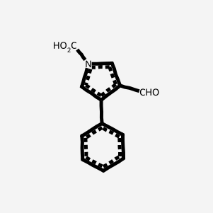 O=Cc1cn(C(=O)O)cc1-c1ccccc1